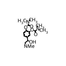 CNCC(O)c1ccc(OC(=O)N(C)C)c(OC(=O)N(C)C)c1